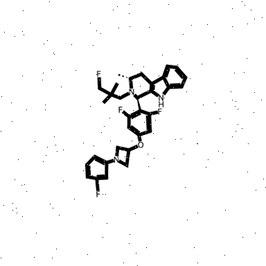 C[C@@H]1Cc2c([nH]c3ccccc23)[C@@H](c2c(F)cc(OC3CN(c4cccc(F)c4)C3)cc2F)N1CC(C)(C)CF